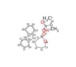 CC=C(C)C(=O)O.O=C1CCCCCO1.c1ccc2c(c1)Cc1ccccc1-2